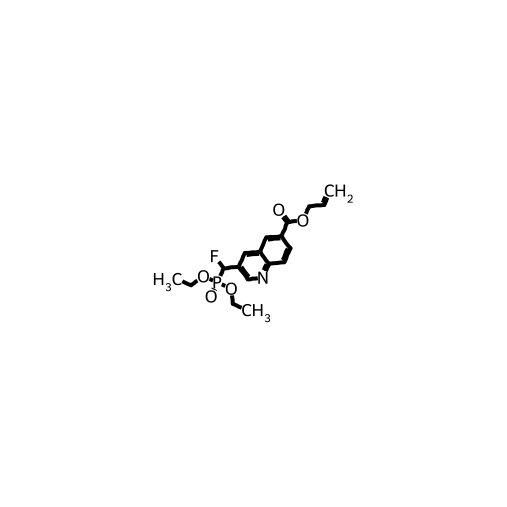 C=CCOC(=O)c1ccc2ncc(C(F)P(=O)(OCC)OCC)cc2c1